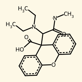 CCN(CC)C(C(=O)[N]C)C1(C(=O)O)c2ccccc2Oc2ccccc21